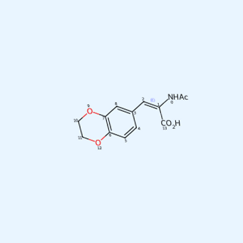 CC(=O)N/C(=C/c1ccc2c(c1)OCCO2)C(=O)O